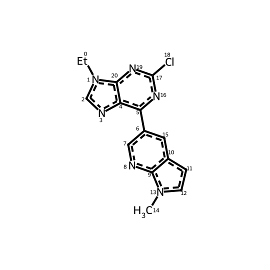 CCn1cnc2c(-c3cnc4c(ccn4C)c3)nc(Cl)nc21